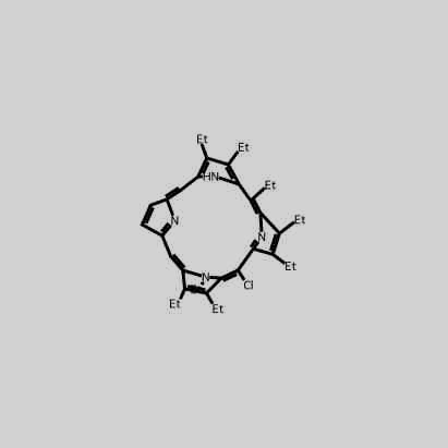 CCC1=C(CC)c2nc1c(CC)c1[nH]c(cc3nc(cc4c(CC)c(CC)c(c2Cl)n4CC)C=C3)c(CC)c1CC